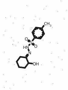 Cc1ccc(S(=O)(=O)NN=C2CCCCC2O)cc1